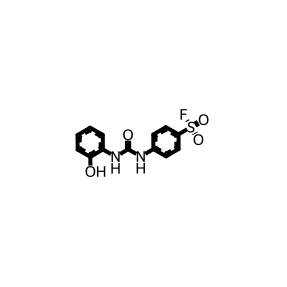 O=C(Nc1ccc(S(=O)(=O)F)cc1)Nc1ccccc1O